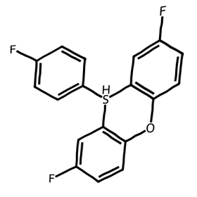 Fc1ccc([SH]2c3cc(F)ccc3Oc3ccc(F)cc32)cc1